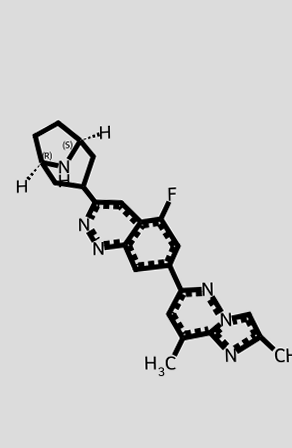 Cc1cn2nc(-c3cc(F)c4cc(C5C[C@H]6CC[C@@H](C5)N6)nnc4c3)cc(C)c2n1